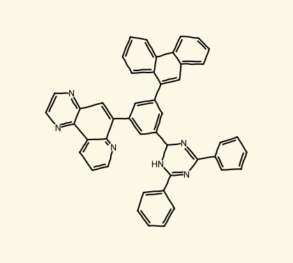 c1ccc(C2=NC(c3cc(-c4cc5ccccc5c5ccccc45)cc(-c4cc5nccnc5c5cccnc45)c3)NC(c3ccccc3)=N2)cc1